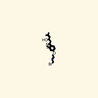 CC(C)=CC(O)Cc1nsc2cc(OC/C=C/CBr)ccc12